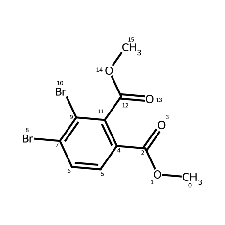 COC(=O)c1ccc(Br)c(Br)c1C(=O)OC